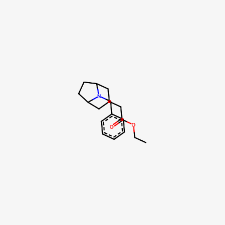 CCOC(=O)CC1CC2CCC(C1)N2Cc1ccccc1